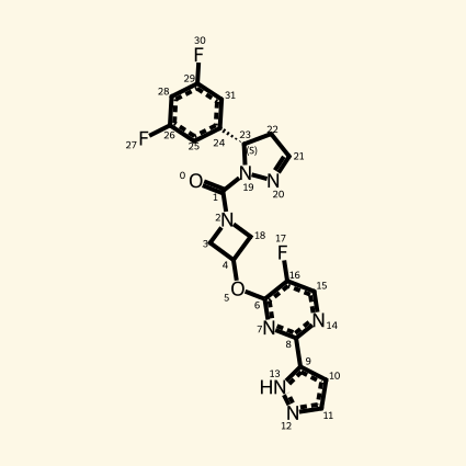 O=C(N1CC(Oc2nc(-c3ccn[nH]3)ncc2F)C1)N1N=CC[C@H]1c1cc(F)cc(F)c1